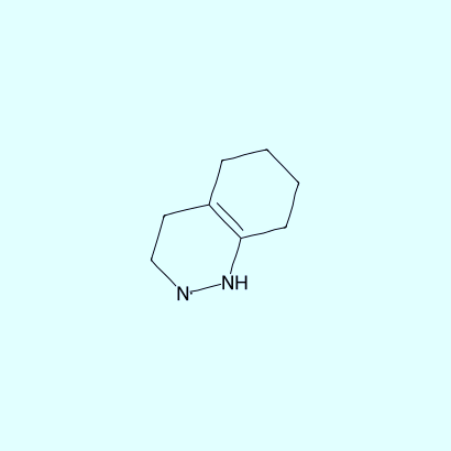 C1CCC2=C(C1)CC[N]N2